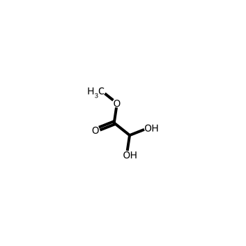 COC(=O)C(O)O